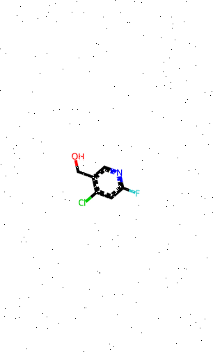 OCc1cnc(F)cc1Cl